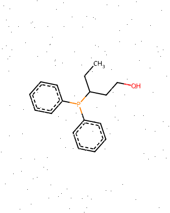 CCC(CCO)P(c1ccccc1)c1ccccc1